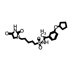 C[C@@H](NS(=O)(=O)CCCCCN1CC(=O)NC1=O)c1cccc(OC2CCCC2)c1